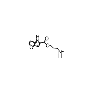 CNCCCOC(=O)c1cc2occc2[nH]1